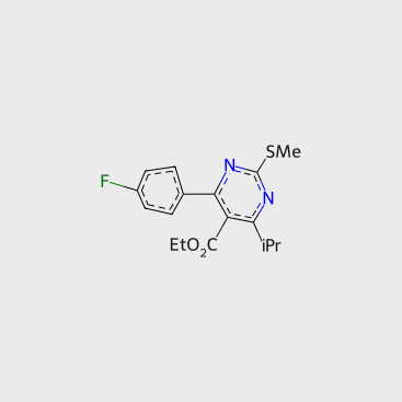 CCOC(=O)c1c(-c2ccc(F)cc2)nc(SC)nc1C(C)C